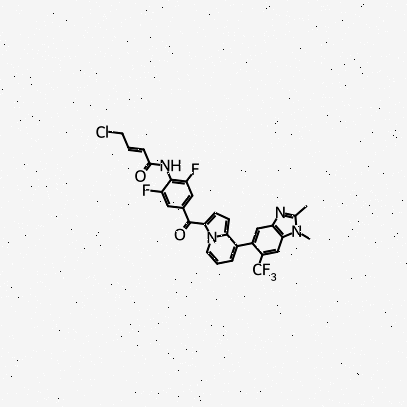 Cc1nc2cc(-c3cccn4c(C(=O)c5cc(F)c(NC(=O)/C=C/CCl)c(F)c5)ccc34)c(C(F)(F)F)cc2n1C